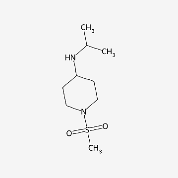 CC(C)NC1CCN(S(C)(=O)=O)CC1